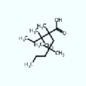 CCCC(C)(C)CC(C)(C(=O)O)C(C)(C)CC